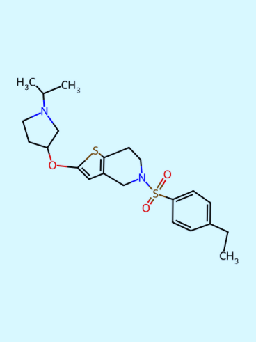 CCc1ccc(S(=O)(=O)N2CCc3sc(OC4CCN(C(C)C)C4)cc3C2)cc1